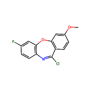 COc1ccc2c(c1)Oc1cc(F)ccc1N=C2Cl